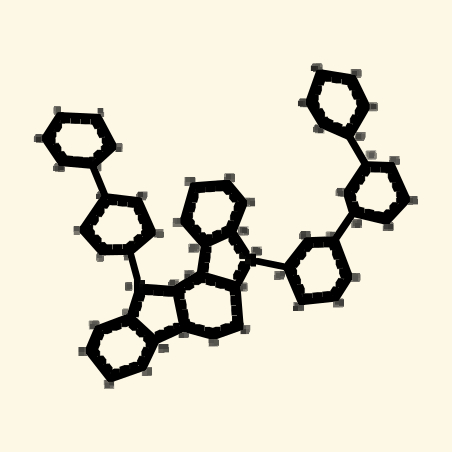 c1ccc(-c2ccc(-n3c4ccccc4c4ccc5c(c6ccccc6n5-c5cccc(-c6cccc(-c7ccccc7)c6)c5)c43)cc2)cc1